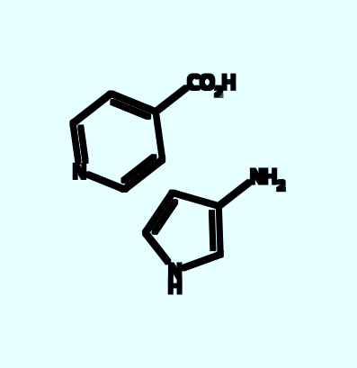 Nc1cc[nH]c1.O=C(O)c1ccncc1